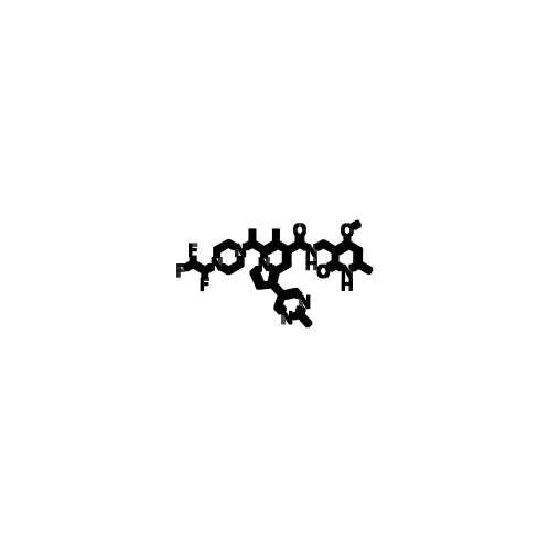 COc1cc(C)[nH]c(=O)c1CNC(=O)c1cc2c(-c3cnc(C)nc3)ccn2c(C(C)N2CCN(C(F)C(F)F)CC2)c1C